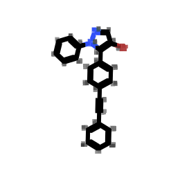 Brc1cnn(-c2ccccc2)c1-c1ccc(C#Cc2ccccc2)cc1